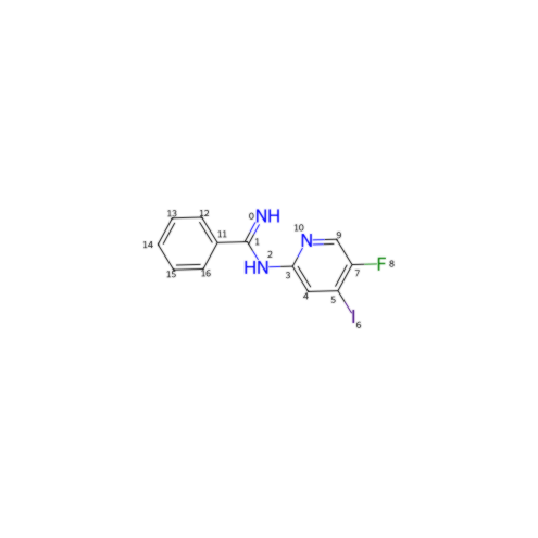 N=C(Nc1cc(I)c(F)cn1)c1ccccc1